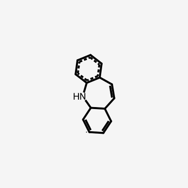 [C]1=CC2Nc3ccccc3C=CC2C=C1